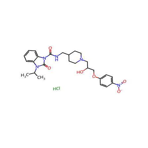 CC(C)n1c(=O)n(C(=O)NCC2CCN(CC(O)COc3ccc([N+](=O)[O-])cc3)CC2)c2ccccc21.Cl